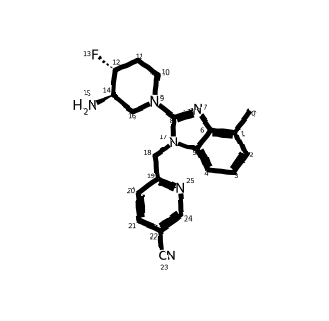 Cc1cccc2c1nc(N1CC[C@@H](F)[C@H](N)C1)n2Cc1ccc(C#N)cn1